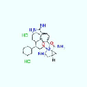 Cl.Cl.N=C(N)c1ccc(C[N+]2(C(=O)[C@H](N)C(C3CCCCC3)C3CCCCC3)CC[C@@H]3C[C@@]32C(N)=O)cc1